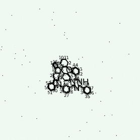 C1=CCC2C(=C1)OC1=C(C=CCC1)C21c2ccccc2C2C=c3c(n(-c4cccc(C5=NC(c6ccccc6)NC(c6ccccc6)=N5)c4)c4ccccc34)=CC21